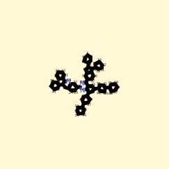 C1=C(c2ccccc2)C(c2ccccc2)c2ccc(-c3nc(-c4ccc5c(c4)N=C(c4ccccc4)C(c4ccccc4)C5)nc4c(-c5ccc(-c6ccccc6)cc5)cc(-c5ccc(-c6ccccc6)cc5)cc34)cc21